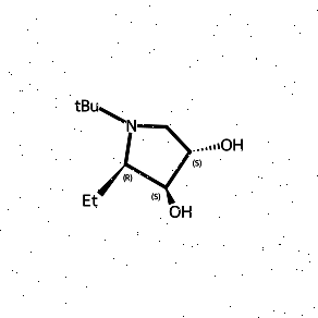 CC[C@@H]1[C@H](O)[C@@H](O)CN1C(C)(C)C